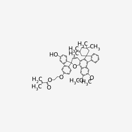 C=C(C)C(=O)OCCOc1ccc(C2(c3ccc(O)cc3)C=Cc3c4c(c5cc(OC)c(OC)cc5c3O2)-c2ccccc2C42CC(C)(C)CC(C)(C)C2)cc1